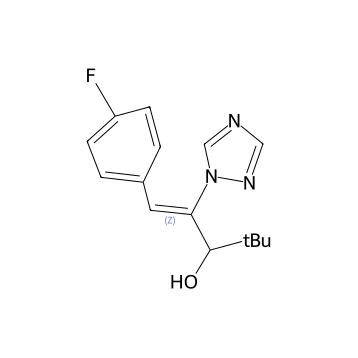 CC(C)(C)C(O)/C(=C/c1ccc(F)cc1)n1cncn1